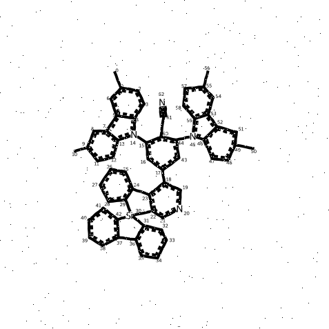 Cc1ccc2c(c1)c1cc(C)ccc1n2-c1cc(-c2cncc3c2-c2ccccc2[Si]32c3ccccc3-c3ccccc32)cc(-n2c3ccc(C)cc3c3cc(C)ccc32)c1C#N